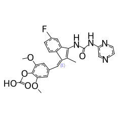 COc1cc(/C=C2/C(C)=C(NC(=O)Nc3cnccn3)c3cc(F)ccc32)cc(OC)c1OC(=O)O